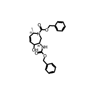 C[C@H]1C=CC(O)[C@H](NC(=O)OCc2ccccc2)CN1C(=O)OCc1ccccc1